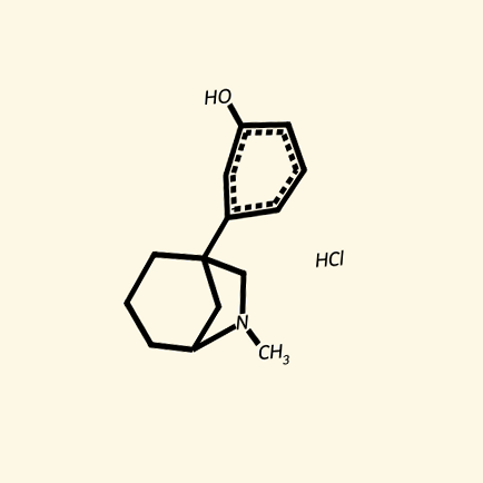 CN1CC2(c3cccc(O)c3)CCCC1C2.Cl